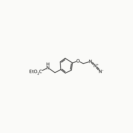 CCOC(=O)NCc1ccc(OCN=[N+]=[N-])cc1